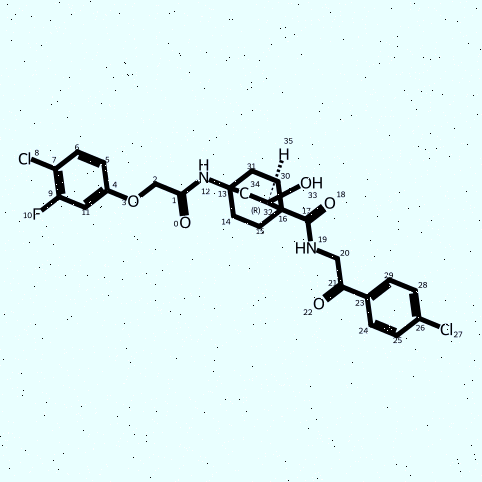 O=C(COc1ccc(Cl)c(F)c1)NC12CCC(C(=O)NCC(=O)c3ccc(Cl)cc3)(CC1)[C@H](O)C2